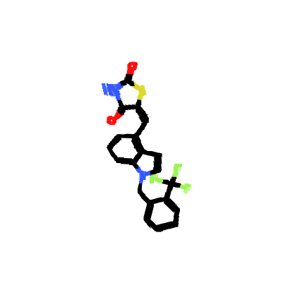 O=C1NC(=O)C(=Cc2cccc3c2ccn3Cc2ccccc2C(F)(F)F)S1